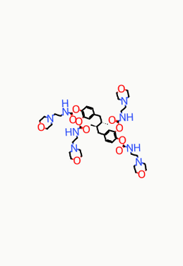 C[C@H](Cc1ccc(OC(=O)NCCN2CCOCC2)c(OC(=O)NCCN2CCOCC2)c1)[C@@H](C)Cc1ccc(OC(=O)NCCN2CCOCC2)c(OC(=O)NCCN2CCOCC2)c1